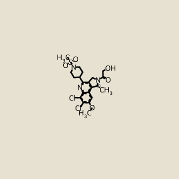 COc1cc2c3c(c(C4CCN(S(C)(=O)=O)CC4)nc2c(Cl)c1Cl)CN(C(=O)CO)[C@H]3C